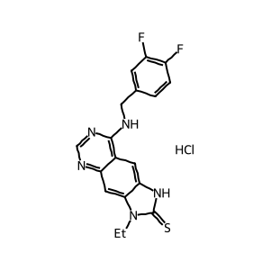 CCn1c(=S)[nH]c2cc3c(NCc4ccc(F)c(F)c4)ncnc3cc21.Cl